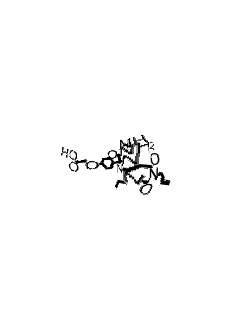 CCCn1c(=O)c2c(n(CCC)c1=O)=NC(C(=O)NN)(c1ccc(OCC(=O)O)cc1)N=2